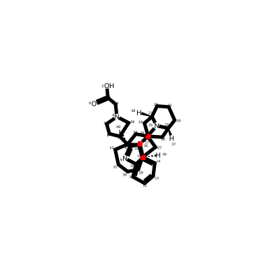 O=C(O)CN1CCC(c2nc3ccccc3n2C2C[C@H]3CCC[C@@H](C2)N3C2C[C@H]3CCCC[C@@H](C2)C3)C1